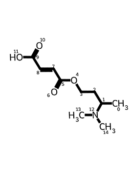 CC(CCOC(=O)C=CC(=O)O)N(C)C